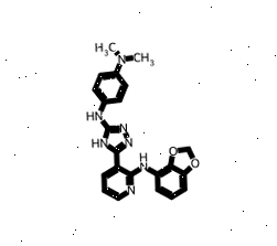 CN(C)c1ccc(Nc2nnc(-c3cccnc3Nc3cccc4c3OCO4)[nH]2)cc1